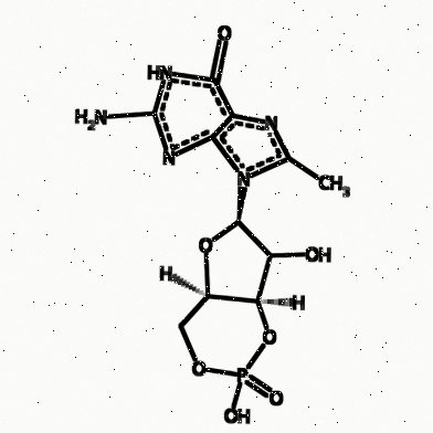 Cc1nc2c(=O)[nH]c(N)nc2n1[C@@H]1O[C@@H]2COP(=O)(O)O[C@@H]2C1O